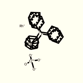 [O-][Cl+3]([O-])([O-])[O-].[Rh+].c1ccc(P(c2ccccc2)[C]23[CH]4[CH]5[CH]6[CH]2[Fe]56432789[CH]3[CH]2[CH]7[C]8(P(c2ccccc2)c2ccccc2)[CH]39)cc1